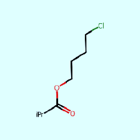 CC(C)C(=O)OCCCCCl